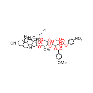 COc1ccc(C(=O)OC2C(OC3C(O)COC(OC4C[C@H]5C6CC=C7CC(N=O)CCC7(C)C6CCC5(C)[C@@]4(O)[C@H](C)C(=O)CCC(C)C)C3OC(C)=O)OCC(O)C2OC(=O)Oc2ccc([N+](=O)[O-])cc2)cc1